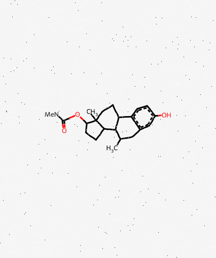 CNC(=O)OC1CCC2C3C(C)Cc4cc(O)ccc4C3CCC12C